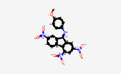 COc1ccc(/N=C2\c3cc([N+](=O)[O-])ccc3-c3c2cc([N+](=O)[O-])cc3[N+](=O)[O-])cc1